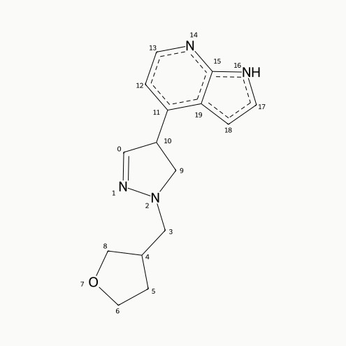 C1=NN(CC2CCOC2)CC1c1ccnc2[nH]ccc12